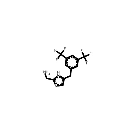 NCc1ncc(Cc2cc(C(F)(F)F)cc(C(F)(F)F)c2)[nH]1